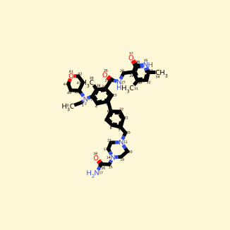 CCN(c1cc(-c2ccc(CN3CCN(CC(N)=O)CC3)cc2)cc(C(=O)NCc2c(C)cc(C)[nH]c2=O)c1C)C1CCOCC1